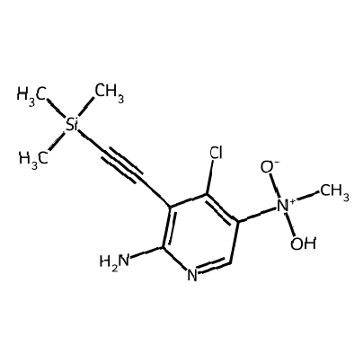 C[N+]([O-])(O)c1cnc(N)c(C#C[Si](C)(C)C)c1Cl